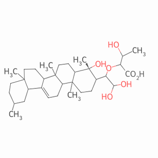 CC1CCC2(C)CCC3C(=CCC4C3(C)CCC3C4(C)CCC(C(OC(C(=O)O)C(C)O)C(O)O)[C@@]3(C)O)C2C1